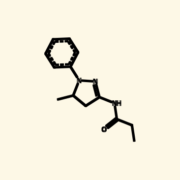 CCC(=O)NC1=NN(c2ccccc2)C(C)C1